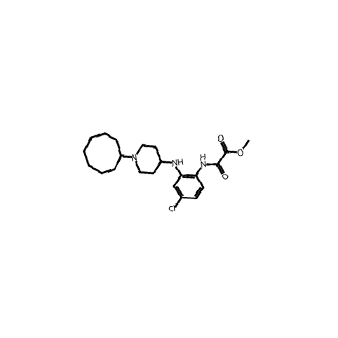 COC(=O)C(=O)Nc1ccc(Cl)cc1NC1CCN(C2CCCCCCC2)CC1